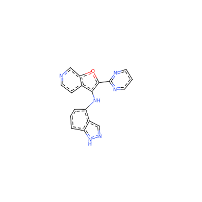 c1cnc(-c2oc3cnccc3c2Nc2cccc3[nH]ncc23)nc1